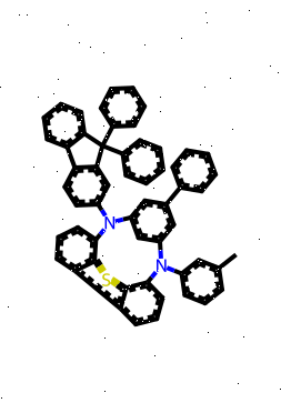 Cc1cccc(N2c3cc(-c4ccccc4)cc(c3)N(c3ccc4c(c3)C(c3ccccc3)(c3ccccc3)c3ccccc3-4)c3cccc4c3sc3c2cccc34)c1